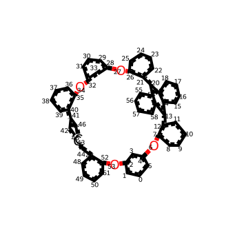 c1cc2cc(c1)oc1ccccc1c1c3ccccc3c(c3ccccc3oc3cccc(c3)oc3ccccc3c3ccc(cc3)c3ccccc3o2)c2ccccc21